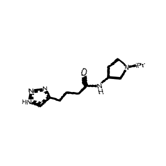 CC(C)N1CCC(NC(=O)CCCc2c[nH]nn2)C1